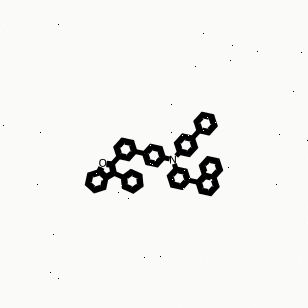 c1ccc(-c2ccc(N(c3ccc(-c4cccc(-c5oc6ccccc6c5-c5ccccc5)c4)cc3)c3cccc(-c4cccc5ccccc45)c3)cc2)cc1